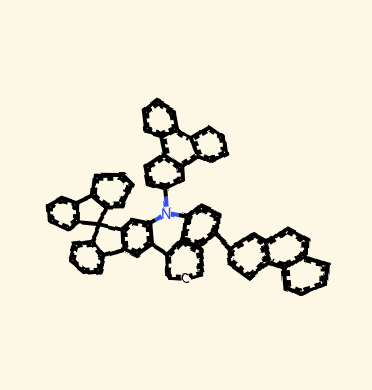 c1ccc(-c2cc3c(cc2N(c2ccc(-c4ccc5c(ccc6ccccc65)c4)cc2)c2ccc4c5ccccc5c5ccccc5c4c2)C2(c4ccccc4-c4ccccc42)c2ccccc2-3)cc1